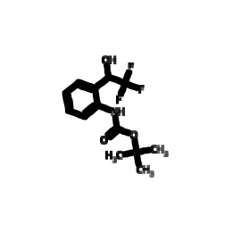 CC(C)(C)OC(=O)Nc1ccccc1C(O)C(F)(F)F